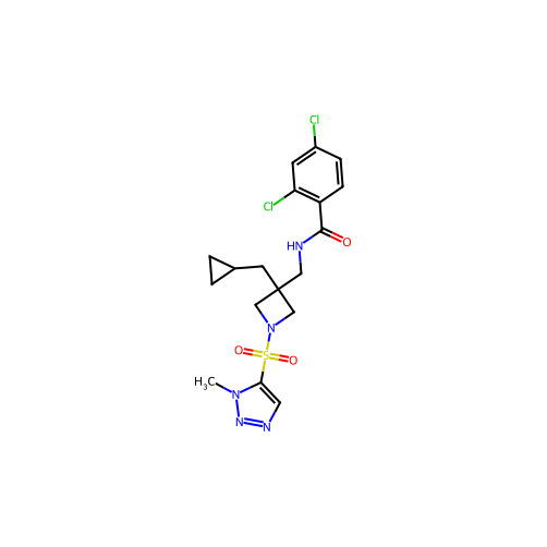 Cn1nncc1S(=O)(=O)N1CC(CNC(=O)c2ccc(Cl)cc2Cl)(CC2CC2)C1